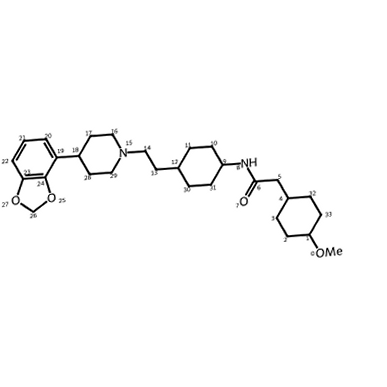 COC1CCC(CC(=O)NC2CCC(CCN3CCC(c4cccc5c4OCO5)CC3)CC2)CC1